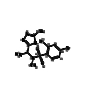 CC(c1nnc(C(C)(C)C)o1)N(C)S(=O)(=O)c1ccc(Br)cc1Br